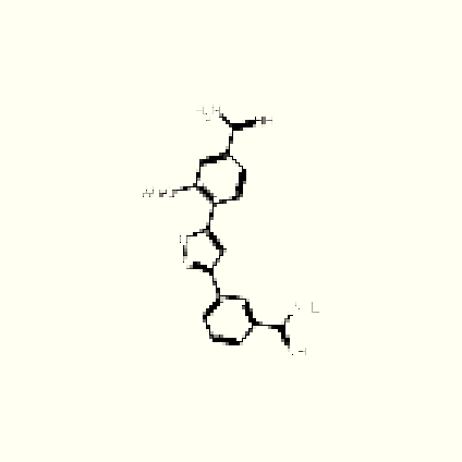 COc1cc(C(=N)N)ccc1-c1cc(-c2cccc(C(=N)N)c2)no1